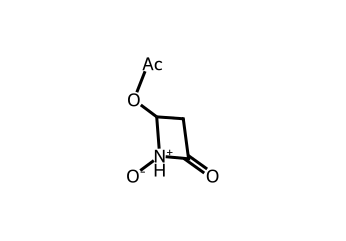 CC(=O)OC1CC(=O)[NH+]1[O-]